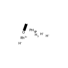 P.P.[C]=O.[H-].[H-].[H-].[Rh+3]